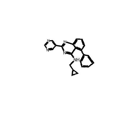 c1ccc(-c2cccc3nc(-c4cncnc4)nc(NCC4CC4)c23)cc1